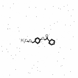 CCOCc1ccc(OCC(=O)c2ccccc2)cc1